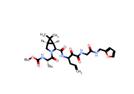 C=CCC(NC(=O)[C@@H]1[C@H]2[C@@H](CN1C(=O)[C@@H](NC(=O)OC(C)(C)C)C(C)(C)C)C2(C)C)C(=O)C(=O)NCC(=O)NCc1ccco1